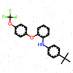 CC(C)(C)c1ccc(Nc2ccccc2Oc2ccc(OC(F)(F)F)cc2)cc1